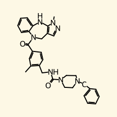 Cc1cc(C(=O)N2Cc3cnn(C)c3Nc3ccccc32)ccc1CNC(=O)N1CCN(Cc2ccccc2)CC1